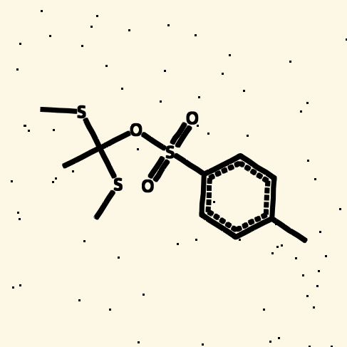 CSC(C)(OS(=O)(=O)c1ccc(C)cc1)SC